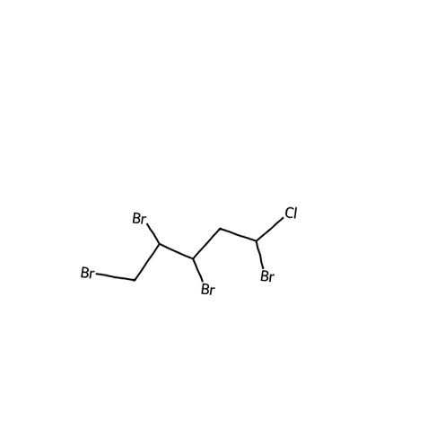 ClC(Br)CC(Br)C(Br)CBr